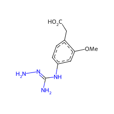 COc1cc(NC(N)=NN)ccc1CC(=O)O